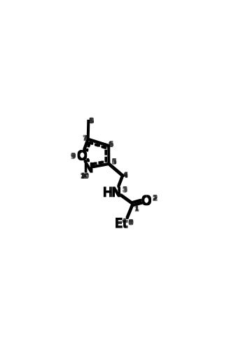 CCC(=O)NCc1cc(C)on1